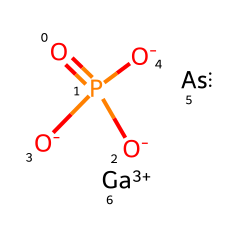 O=P([O-])([O-])[O-].[As].[Ga+3]